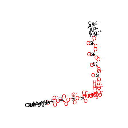 O.O=[Si]([O-])[O-].O=[Si]([O-])[O-].O=[Si]([O-])[O-].O=[Si]([O-])[O-].O=[Si]([O-])[O-].O=[Si]([O-])[O-].O=[Si]([O-])[O-].O=[Si]([O-])[O-].[Al+3].[Al+3].[Al+3].[Ca+2].[Ca+2].[Ca+2].[Mg+2].[Mg+2].[Mg+2].[Na+].[Na+].[Na+].[OH-].[OH-].[OH-].[OH-].[OH-].[OH-].[OH-].[OH-]